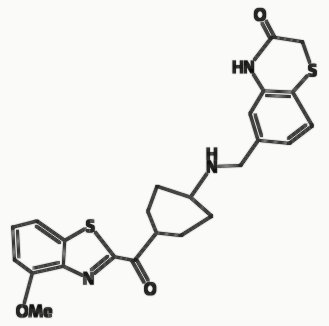 COc1cccc2sc(C(=O)C3CCC(NCc4ccc5c(c4)NC(=O)CS5)CC3)nc12